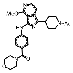 COc1nccn2c(C3CCN(C(C)=O)CC3)nc(Nc3ccc(C(=O)N4CCOCC4)cc3)c12